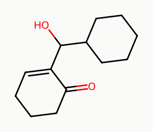 O=C1CCCC=C1C(O)C1CCCCC1